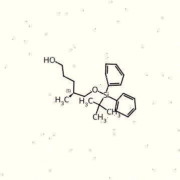 C[C@@H](CCCO)CO[Si](c1ccccc1)(c1ccccc1)C(C)(C)C